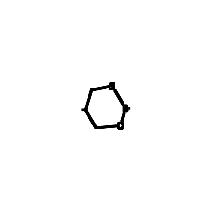 [B]1OC[CH]CS1